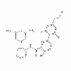 C[C@@H]1C[C@H](N)CN(c2ccncc2Nc2ncc3ccc(-c4c(F)cc(CCO)cc4F)nn23)C1